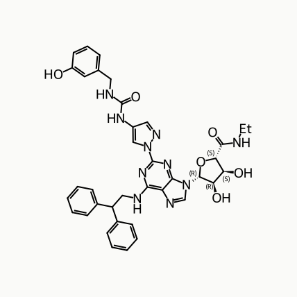 CCNC(=O)[C@H]1O[C@@H](n2cnc3c(NCC(c4ccccc4)c4ccccc4)nc(-n4cc(NC(=O)NCc5cccc(O)c5)cn4)nc32)[C@H](O)[C@@H]1O